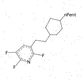 CCCCCC1CCC(CCc2cc(F)c(F)nc2F)CC1